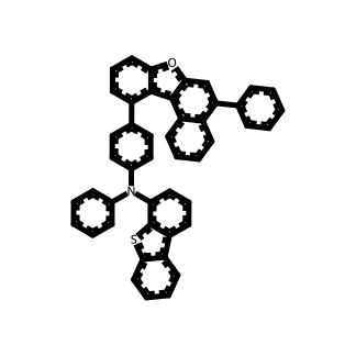 c1ccc(-c2cc3oc4cccc(-c5ccc(N(c6ccccc6)c6cccc7c6sc6ccccc67)cc5)c4c3c3ccccc23)cc1